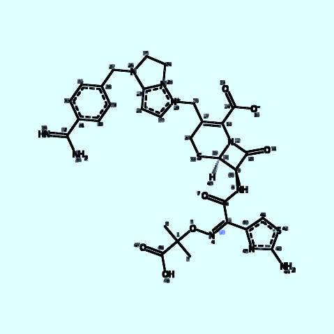 CC(C)(O/N=C(\C(=O)N[C@@H]1C(=O)N2C(C(=O)[O-])=C(C[n+]3ccc4n3CCN4Cc3ccc(C(=N)N)cc3)CS[C@H]12)c1csc(N)n1)C(=O)O